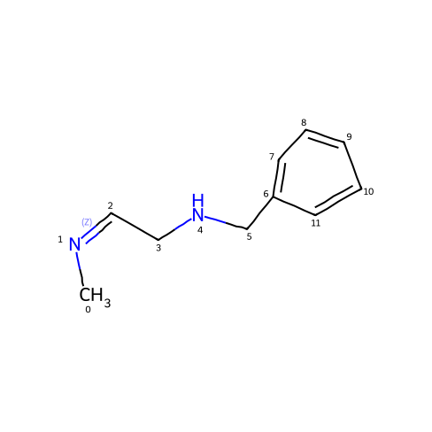 C/N=C\CNCc1ccccc1